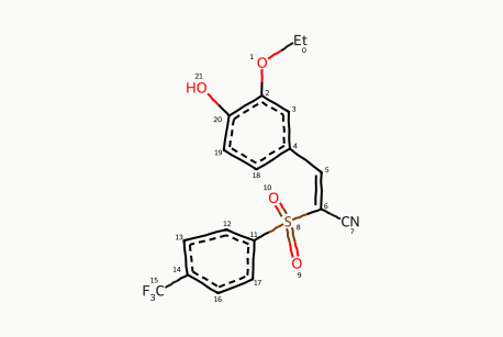 CCOc1cc(C=C(C#N)S(=O)(=O)c2ccc(C(F)(F)F)cc2)ccc1O